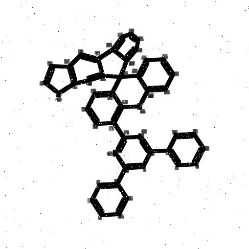 c1ccc(-c2cc(-c3ccccc3)nc(-c3cccc4c3Sc3ccccc3C43c4ccccc4-c4cc5ccsc5cc43)n2)cc1